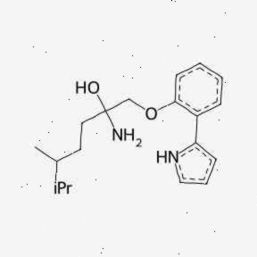 CC(C)C(C)CCC(N)(O)COc1ccccc1-c1ccc[nH]1